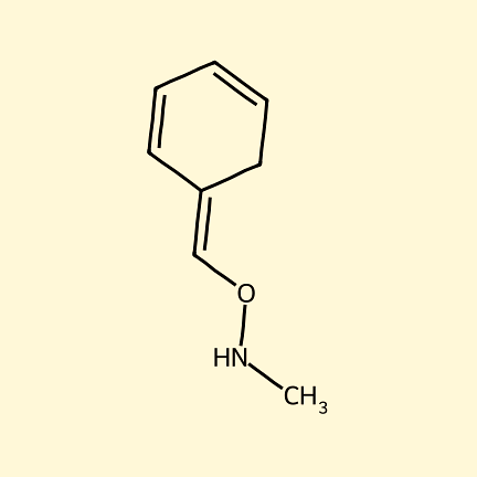 CNO/C=C1/C=CC=CC1